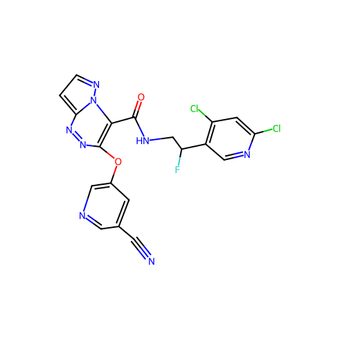 N#Cc1cncc(Oc2nnc3ccnn3c2C(=O)NCC(F)c2cnc(Cl)cc2Cl)c1